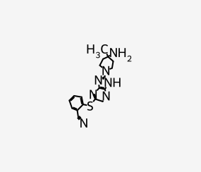 CC1(N)CCN(c2nc3nc(Sc4ccccc4C#N)cnc3[nH]2)CC1